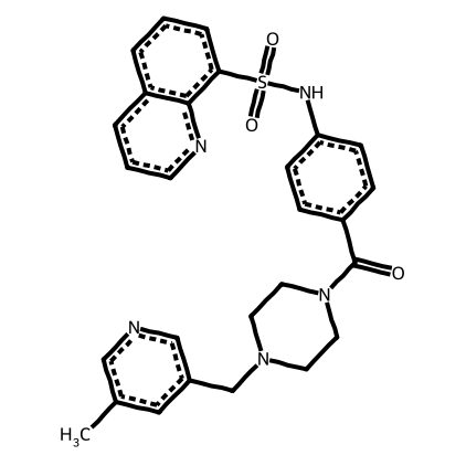 Cc1cncc(CN2CCN(C(=O)c3ccc(NS(=O)(=O)c4cccc5cccnc45)cc3)CC2)c1